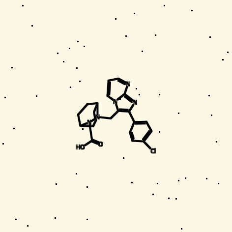 O=C(O)N1CCC2CCC1CN2Cc1c(-c2ccc(Cl)cc2)nc2ncccn12